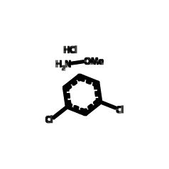 CON.Cl.Clc1cccc(Cl)c1